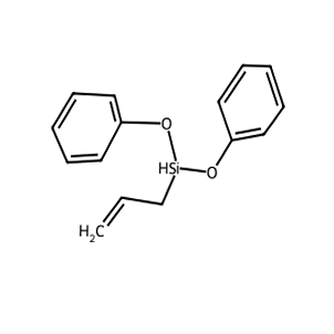 C=CC[SiH](Oc1ccccc1)Oc1ccccc1